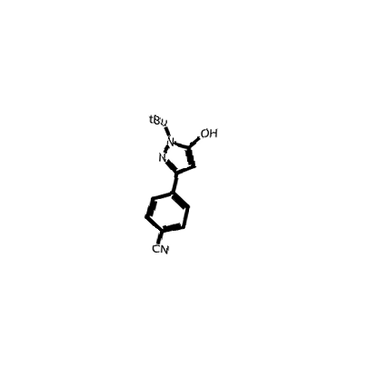 CC(C)(C)n1nc(-c2ccc(C#N)cc2)cc1O